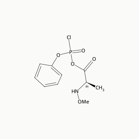 CON[C@H](C)C(=O)OP(=O)(Cl)Oc1ccccc1